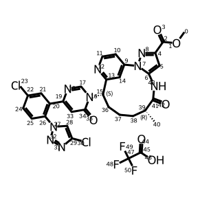 COC(=O)c1cc2n(n1)-c1ccnc(c1)[C@@H](n1cnc(-c3cc(Cl)ccc3-n3cc(Cl)nn3)cc1=O)CCC[C@@H](C)C(=O)N2.O=C(O)C(F)(F)F